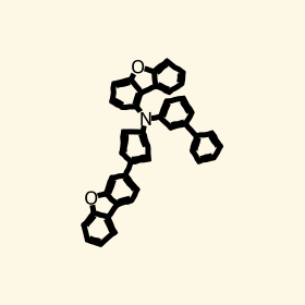 c1ccc(-c2cccc(N(c3ccc(-c4ccc5c(c4)oc4ccccc45)cc3)c3cccc4oc5ccccc5c34)c2)cc1